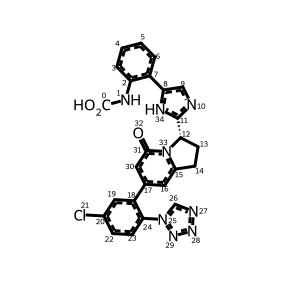 O=C(O)Nc1ccccc1-c1cnc([C@@H]2CCc3cc(-c4cc(Cl)ccc4-n4cnnn4)cc(=O)n32)[nH]1